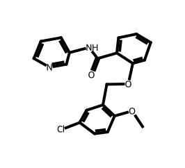 COc1ccc(Cl)cc1COc1ccccc1C(=O)Nc1cccnc1